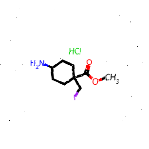 COC(=O)C1(CI)CCC(N)CC1.Cl